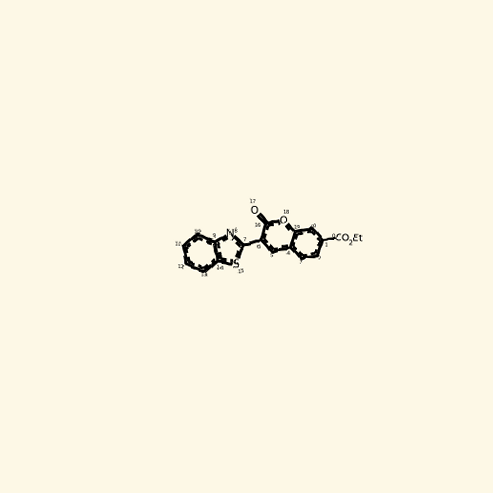 CCOC(=O)c1ccc2cc(-c3nc4ccccc4s3)c(=O)oc2c1